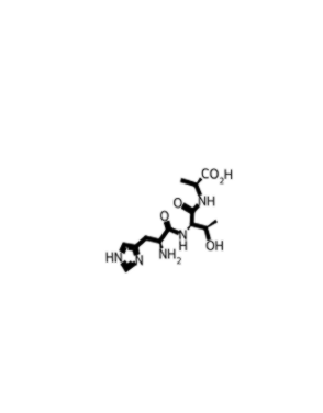 C[C@H](NC(=O)[C@@H](NC(=O)[C@@H](N)Cc1c[nH]cn1)[C@@H](C)O)C(=O)O